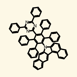 c1ccc(-c2nc(-c3ccccc3)nc(-c3c(-c4ccccc4)c(-c4ccccc4)c(-n4c5cc6ccccc6cc5c5c6ccccc6ccc54)c(-c4ccccc4)c3-c3ccccc3)n2)cc1